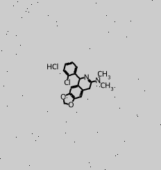 CN(C)C1=NC(c2ccccc2Cl)c2cc3c(cc2C1)OCO3.Cl